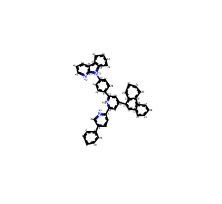 c1ccc(-c2ccc(-c3cc(-c4cc5ccccc5c5ccccc45)cc(-c4ccc(-n5c6ccccc6c6cccnc65)cc4)n3)nc2)cc1